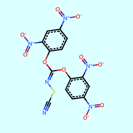 N#CSN=C(Oc1ccc([N+](=O)[O-])cc1[N+](=O)[O-])Oc1ccc([N+](=O)[O-])cc1[N+](=O)[O-]